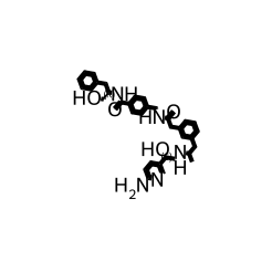 CC(Cc1cccc(CC(=O)NCc2ccc(C(=O)N[C@@H](CO)Cc3ccccc3)cc2)c1)NC[C@@H](O)c1ccc(N)nc1